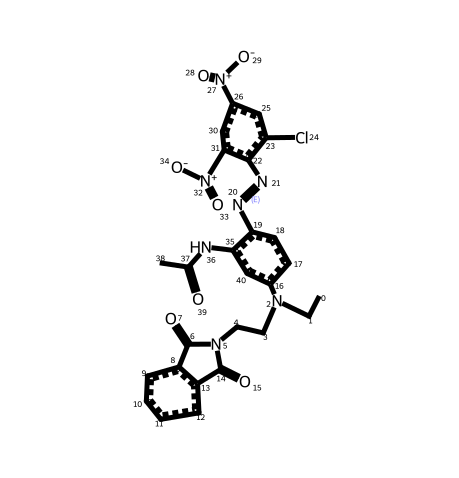 CCN(CCN1C(=O)c2ccccc2C1=O)c1ccc(/N=N/c2c(Cl)cc([N+](=O)[O-])cc2[N+](=O)[O-])c(NC(C)=O)c1